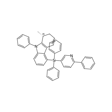 C[C@@H]1CC=Cc2c1n(-c1ccccc1)c1cccc([Si](c3ccccc3)(c3ccccc3)c3ccc(-c4ccccc4)nc3)c21